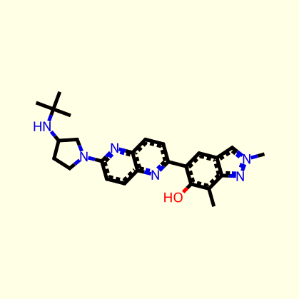 Cc1c(O)c(-c2ccc3nc(N4CCC(NC(C)(C)C)C4)ccc3n2)cc2cn(C)nc12